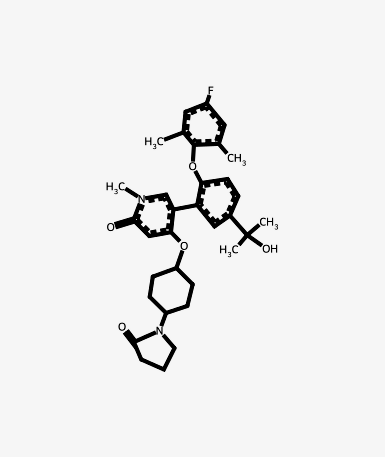 Cc1cc(F)cc(C)c1Oc1ccc(C(C)(C)O)cc1-c1cn(C)c(=O)cc1OC1CCC(N2CCCC2=O)CC1